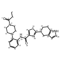 CCC(=O)N1CCN(c2ccccc2NC(=O)c2csc(N3CCc4[nH]ncc4C3)n2)CC1